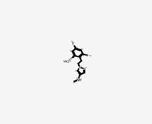 CNc1cnn(CCc2c(F)cc(F)cc2F)c1.Cl